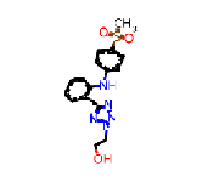 CS(=O)(=O)c1ccc(Nc2ccccc2-c2nnn(CCO)n2)cc1